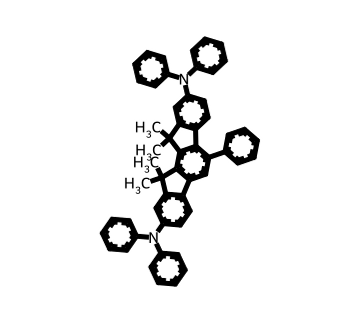 CC1(C)c2cc(N(c3ccccc3)c3ccccc3)ccc2-c2cc(-c3ccccc3)c3c(c21)C(C)(C)c1cc(N(c2ccccc2)c2ccccc2)ccc1-3